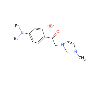 Br.CCN(CC)c1ccc(C(=O)CN2C=CN(C)C2)cc1